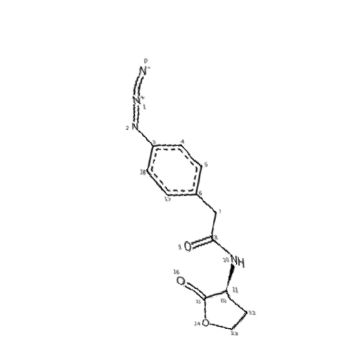 [N-]=[N+]=Nc1ccc(CC(=O)N[C@H]2CCOC2=O)cc1